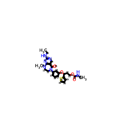 CCNc1ncc2c(n1)N(C)CCN(c1cccc(OC(CCOC(=O)NC)c3cccs3)c1)C2=O